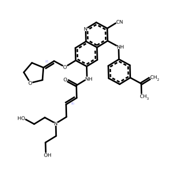 C=C(C)c1cccc(Nc2c(C#N)cnc3cc(O/C=C4/CCOC4)c(NC(=O)/C=C/CN(CCO)CCO)cc23)c1